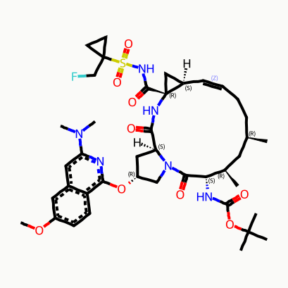 COc1ccc2c(O[C@@H]3C[C@H]4C(=O)N[C@]5(C(=O)NS(=O)(=O)C6(CF)CC6)C[C@H]5/C=C\CC[C@@H](C)C[C@@H](C)[C@H](NC(=O)OC(C)(C)C)C(=O)N4C3)nc(N(C)C)cc2c1